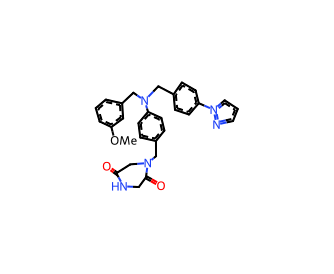 COc1cccc(CN(Cc2ccc(-n3cccn3)cc2)c2ccc(CN3CC(=O)NCC3=O)cc2)c1